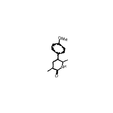 COc1ccc(C2CC(C)C(=O)NC2C)cc1